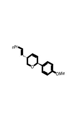 CCC/C=C/[C@@H]1C=C[C@@H](c2ccc(OC)cc2)OC1